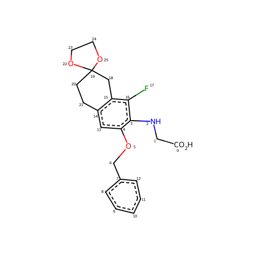 O=C(O)CNc1c(OCc2ccccc2)cc2c(c1F)CC1(CC2)OCCO1